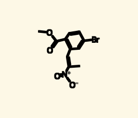 COC(=O)c1ccc(Br)cc1C=C(C)[N+](=O)[O-]